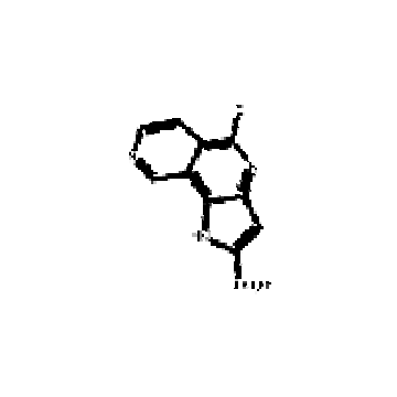 CCOC(=O)c1cc2nc(Cl)c3ccncc3c2[nH]1